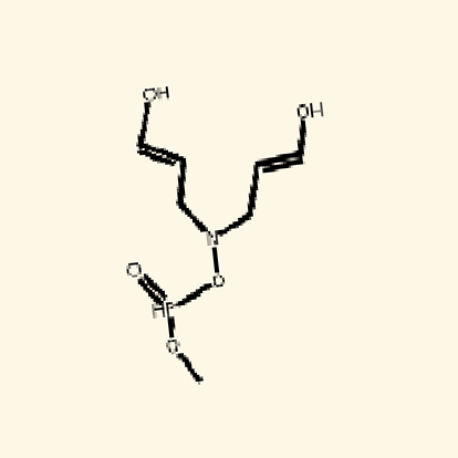 CO[PH](=O)ON(CC=CO)CC=CO